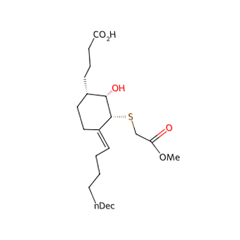 CCCCCCCCCCCCC/C=C1\CC[C@H](CCCC(=O)O)[C@H](O)[C@@H]1SCC(=O)OC